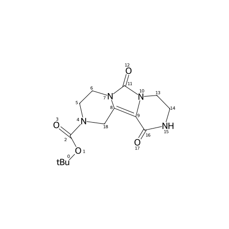 CC(C)(C)OC(=O)N1CCn2c(c3n(c2=O)CCNC3=O)C1